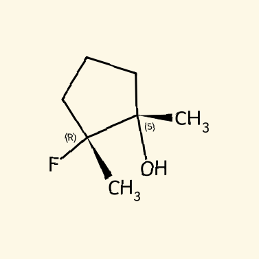 C[C@]1(O)CCC[C@@]1(C)F